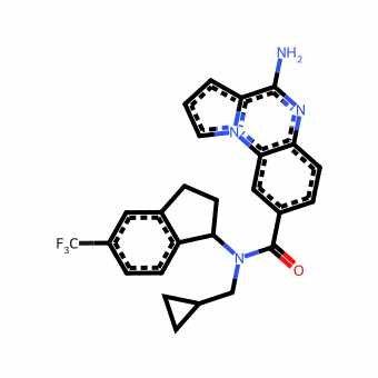 Nc1nc2ccc(C(=O)N(CC3CC3)C3CCc4cc(C(F)(F)F)ccc43)cc2n2cccc12